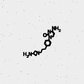 Nc1ccn(-c2ccc(CCCN3CC(N)C3)cc2)c(=O)n1